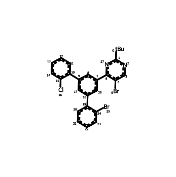 CC(C)(C)c1ncc(Br)c(-c2cc(-c3ccccc3Cl)cc(-c3ccccc3Br)c2)n1